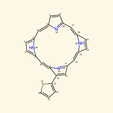 C1=Cc2cc3ccc(cc4nc(cc5ccc(cc1n2)[nH]5)C=C4c1cccs1)[nH]3